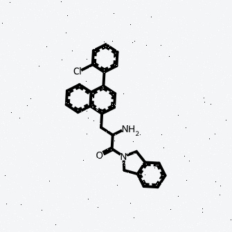 NC(Cc1ccc(-c2ccccc2Cl)c2ccccc12)C(=O)N1Cc2ccccc2C1